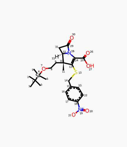 CC(C)(C)[Si](C)(C)OCC[C@@]1(C)C(SCc2ccc([N+](=O)[O-])cc2)=C(C(=O)O)N2C(=O)C[C@@H]21